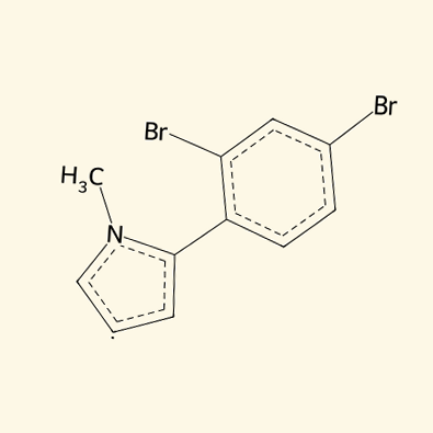 Cn1c[c]cc1-c1ccc(Br)cc1Br